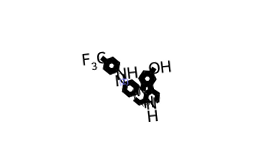 Oc1ccc2c(c1)c1c3n2[C@@]2(C=C/C(=N\Nc4ccc(C(F)(F)F)cc4)CC2)CC[C@@H]3NCC1